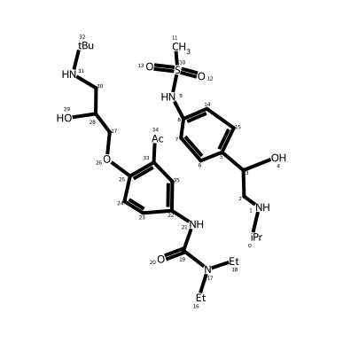 CC(C)NCC(O)c1ccc(NS(C)(=O)=O)cc1.CCN(CC)C(=O)Nc1ccc(OCC(O)CNC(C)(C)C)c(C(C)=O)c1